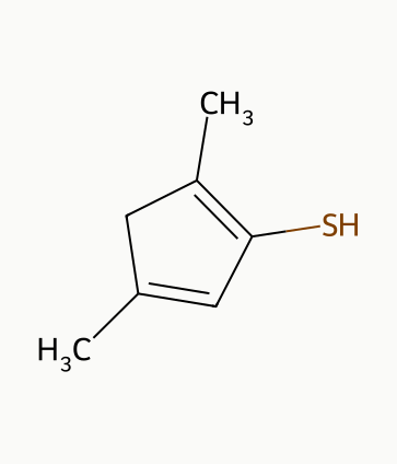 CC1=CC(S)=C(C)C1